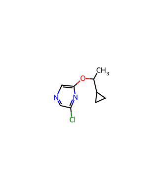 CC(Oc1cncc(Cl)n1)C1CC1